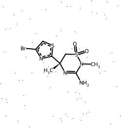 CN1C(N)=N[C@](C)(c2nc(Br)cs2)CS1(=O)=O